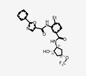 CCc1ccc(C(=O)N[C@H]2C[C@H](OC(F)(F)F)C[C@@H]2O)cc1NC(=O)c1cnc(-c2ccccc2)o1